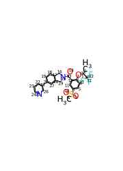 C[C@H](Oc1ccc(S(C)(=O)=O)cc1C(=O)N1Cc2ccc(-c3cccnc3)cc2C1)C(F)(F)F